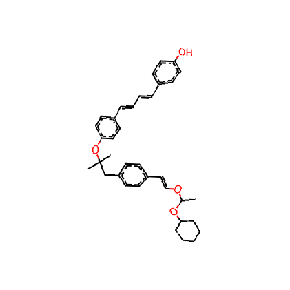 CC(OC=Cc1ccc(CC(C)(C)Oc2ccc(C=CC=Cc3ccc(O)cc3)cc2)cc1)OC1CCCCC1